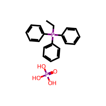 CC[P](c1ccccc1)(c1ccccc1)c1ccccc1.O=P(O)(O)O